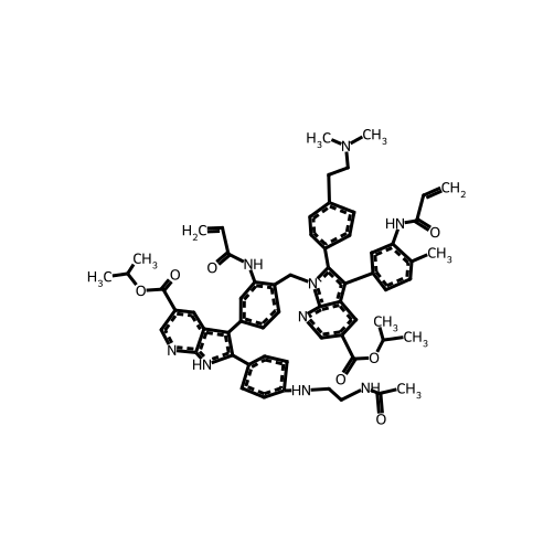 C=CC(=O)Nc1cc(-c2c(-c3ccc(CCN(C)C)cc3)n(Cc3ccc(-c4c(-c5ccc(NCCNC(C)=O)cc5)[nH]c5ncc(C(=O)OC(C)C)cc45)cc3NC(=O)C=C)c3ncc(C(=O)OC(C)C)cc23)ccc1C